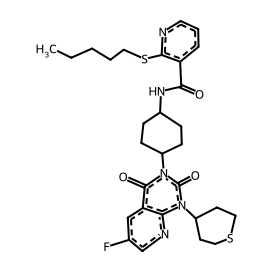 CCCCCSc1ncccc1C(=O)NC1CCC(n2c(=O)c3cc(F)cnc3n(C3CCSCC3)c2=O)CC1